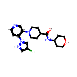 O=C(NC1CCOCC1)C1CCN(c2cnccc2-n2cc(Cl)cn2)CC1